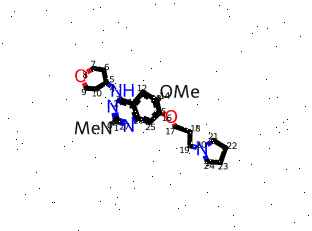 CNc1nc(NC2CCOCC2)c2cc(OC)c(OCCCN3CCCC3)cc2n1